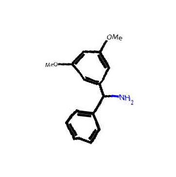 COc1cc(OC)cc(C(N)c2ccccc2)c1